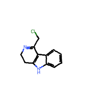 ClCC1=NCCc2[nH]c3ccccc3c21